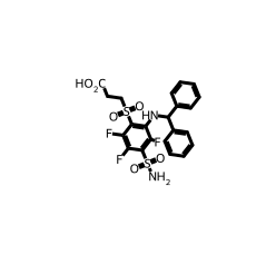 NS(=O)(=O)c1c(F)c(F)c(S(=O)(=O)CCC(=O)O)c(NC(c2ccccc2)c2ccccc2)c1F